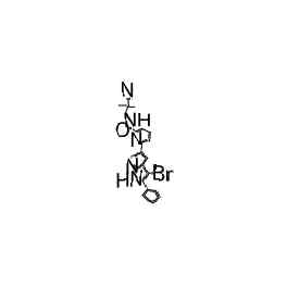 CC(C)(C#N)CNC(=O)c1cccc(-c2cnc3[nH]c(-c4ccccc4)c(Br)c3c2)n1